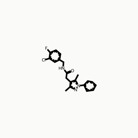 Cc1nn(-c2ccccc2)c(C)c1CC(=O)NCc1ccc(F)c(Cl)c1